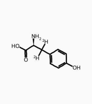 [2H]C([2H])(c1ccc(O)cc1)[C@H](N)C(=O)O